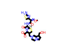 CO/N=C(\C(=O)N[C@@H]1C(=O)N2C(C(=O)[O-])=C(Cn3cc[n+]4ccc(CO)c-4c3)CS[C@@H]12)c1csc(N)n1